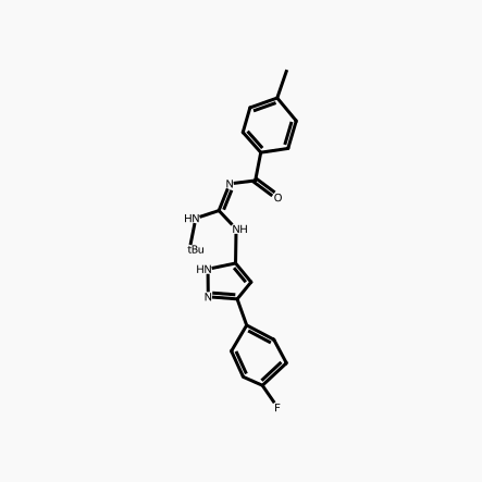 Cc1ccc(C(=O)/N=C(\Nc2cc(-c3ccc(F)cc3)n[nH]2)NC(C)(C)C)cc1